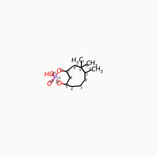 CC1CCCC2CC(CC1(C)C)OP(=O)(O)O2